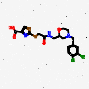 O=C(CSc1nc(C(=O)O)cs1)NCC1CN(Cc2ccc(Cl)c(Cl)c2)CCO1